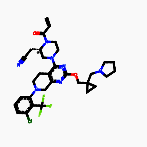 C=CC(=O)N1CCN(c2nc(OCC3(CN4CCCC4)CC3)nc3c2CCN(c2cccc(Cl)c2C(F)(F)F)C3)C[C@@H]1CC#N